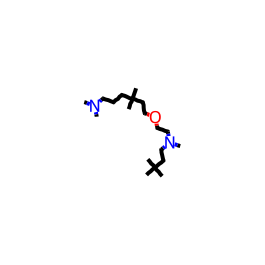 CN(C)CCCC(C)(C)CCOCCN(C)CCC(C)(C)C